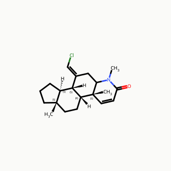 CN1C(=O)C=C[C@@]2(C)C1CC(=CCl)[C@@H]1[C@H]2CC[C@]2(C)CCC[C@@H]12